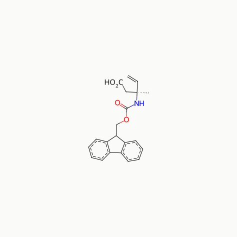 C=C[C@](C)(CC(=O)O)NC(=O)OCC1c2ccccc2-c2ccccc21